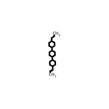 C/C=C/C1CCC(C2CCC(C3CCC(CCC)CC3)CC2)CC1